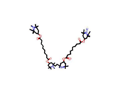 CN1C(C)(C)CC(OC(=O)CCCCCCCCC(=O)OC2CC(C)(C)N(C)C(C)(CCC3(C)CC(OC(=O)CCCCCCCCC(=O)OC4CC(C)(C)NC(C)(C)C4)CC(C)(C)N3)C2)CC1(C)C